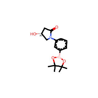 CC1(C)OB(c2cccc(N3C[C@H](O)CC3=O)c2)OC1(C)C